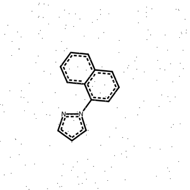 [c]1[c]n(-c2cccc3ccccc23)nc1